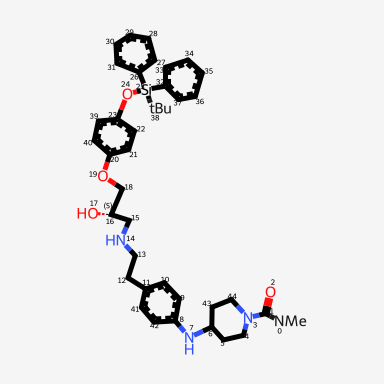 CNC(=O)N1CCC(Nc2ccc(CCNC[C@H](O)COc3ccc(O[Si](c4ccccc4)(c4ccccc4)C(C)(C)C)cc3)cc2)CC1